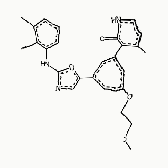 COCCOc1cc(-c2cnc(Nc3cccc(C)c3C)o2)cc(-c2c(C)cc[nH]c2=O)c1